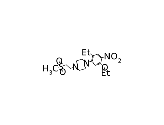 CCOc1cc(N2CCN(CCS(C)(=O)=O)CC2)c(CC)cc1[N+](=O)[O-]